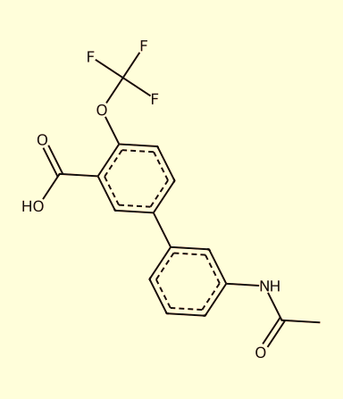 CC(=O)Nc1cccc(-c2ccc(OC(F)(F)F)c(C(=O)O)c2)c1